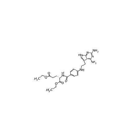 CCOC(=O)CC[C@H](NC(=O)c1ccc(NCCc2c[nH]c3nc(N)nc(N)c23)cc1)C(=O)OCC